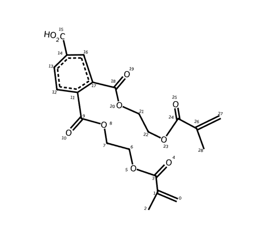 C=C(C)C(=O)OCCOC(=O)c1ccc(C(=O)O)cc1C(=O)OCCOC(=O)C(=C)C